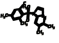 Cc1cc(C)c(S(=O)(=O)n2ccc3nc(C)c(C)cc32)c(C)c1